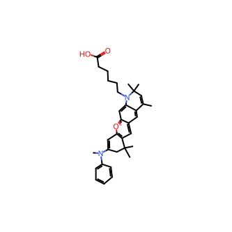 CC1=CC(C)(C)N(CCCCCC(=O)O)c2cc3[o+]c4c(cc3cc21)C(C)(C)CC(N(C)c1ccccc1)=C4